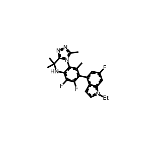 CCn1ccc2c(-c3c(C)c4c(c(F)c3F)NC(C)(C)c3nnc(C)n3-4)cc(F)cc21